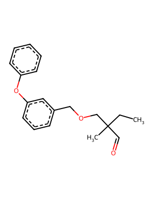 CCC(C)(C=O)COCc1cccc(Oc2ccccc2)c1